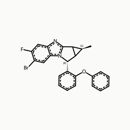 C[C@@H]1C2c3nc4cc(F)c(Br)cc4n3[C@@H](c3ccccc3Oc3ccccc3)C21